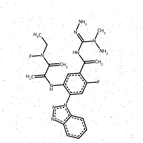 C=C(Nc1cc(C(=C)N/C(=N/N)N(C)N)c(F)cc1-n1nnc2ccccc21)C(=C)N(F)CC